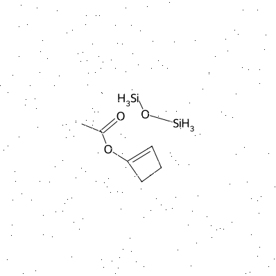 CC(=O)OC1=CCC1.[SiH3]O[SiH3]